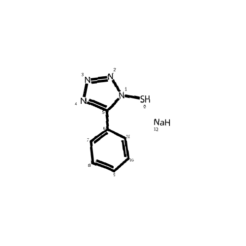 Sn1nnnc1-c1ccccc1.[NaH]